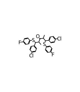 CC(C(=O)C(C)C(Sc1ccc(F)cc1)c1ccc(Cl)cc1)C(Sc1ccc(F)cc1)c1ccc(Cl)cc1